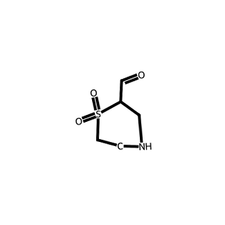 O=CC1CNCCS1(=O)=O